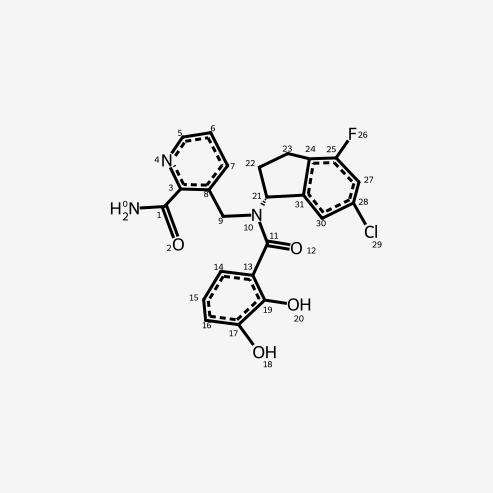 NC(=O)c1ncccc1CN(C(=O)c1cccc(O)c1O)[C@@H]1CCc2c(F)cc(Cl)cc21